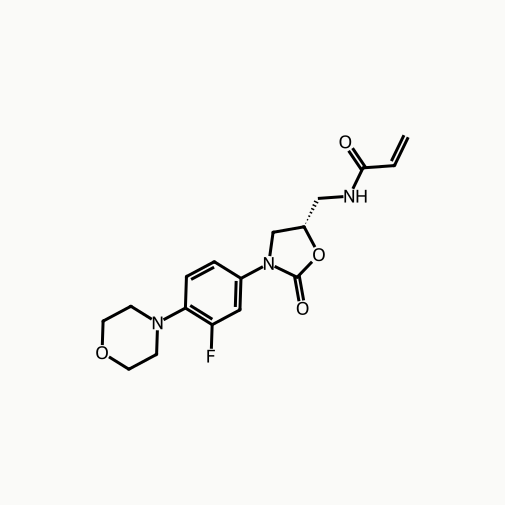 C=CC(=O)NC[C@H]1CN(c2ccc(N3CCOCC3)c(F)c2)C(=O)O1